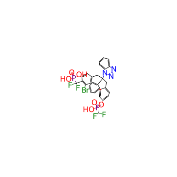 O=P(O)(Oc1ccc(CC(Cc2ccc(C(F)(F)P(=O)(O)O)c(Br)c2)(c2ccccc2)n2nnc3ccccc32)cc1)C(F)F